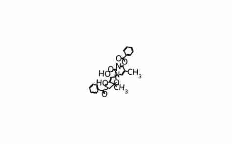 Cc1cn(C2OC(C)(CSC(=O)c3ccccc3)C(O)=C2O)c(=O)nc1OC(=O)c1ccccc1